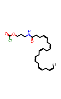 CC/C=C\C/C=C\C/C=C\C/C=C\C/C=C\C/C=C\CCC(=O)NCCCOC(=O)Cl